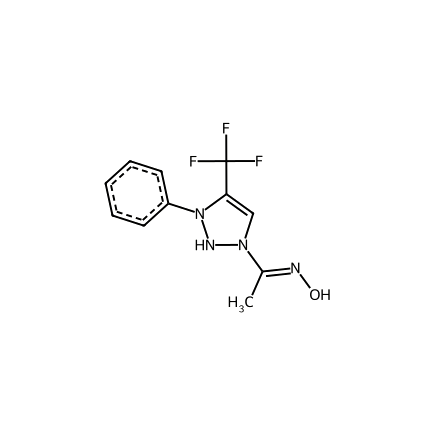 CC(=NO)N1C=C(C(F)(F)F)N(c2ccccc2)N1